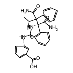 CC(C)C(C(N)=O)(c1ccccc1)[C@@](NC(=O)Nc1cccc(C(=O)O)c1)(C(N)=O)c1ccccc1